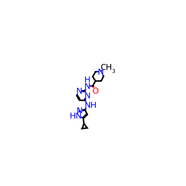 CN1CCC(C(=O)Nc2nccc(Nc3cc(C4CC4)[nH]n3)n2)CC1